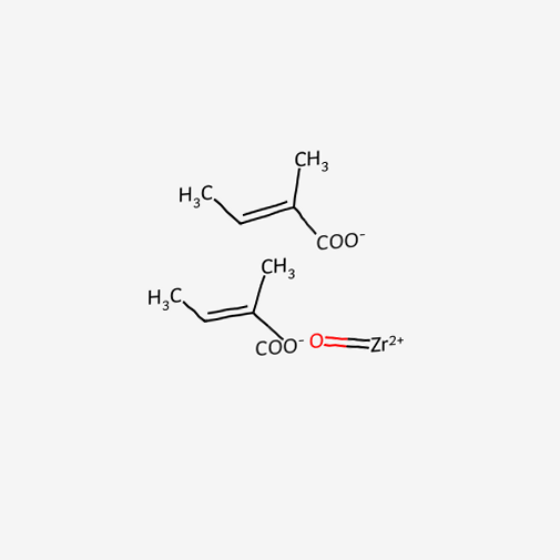 CC=C(C)C(=O)[O-].CC=C(C)C(=O)[O-].[O]=[Zr+2]